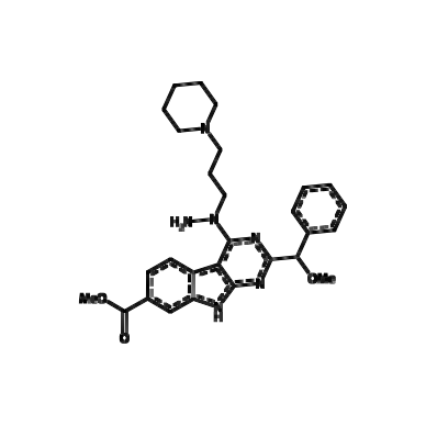 COC(=O)c1ccc2c(c1)[nH]c1nc(C(OC)c3ccccc3)nc(N(N)CCCN3CCCCC3)c12